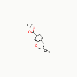 COC(=O)c1ccc2c(c1)OCC(C)C2